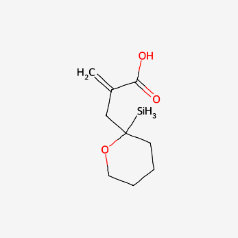 C=C(CC1([SiH3])CCCCO1)C(=O)O